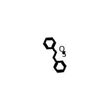 O=S.c1ccc(CCc2ccccc2)cc1